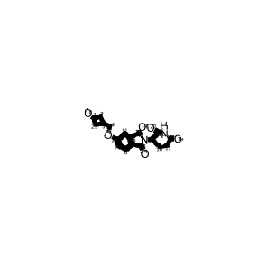 O=C1CC(COc2ccc3c(c2)C(=O)N(C2CCC(=O)NC2=O)C3=O)C1